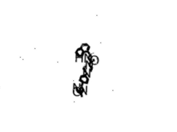 Cc1nc(-c2ccc(N3CCN(C(=O)N[C@@H](C)c4cccc5ccccc45)CC3)cc2)no1